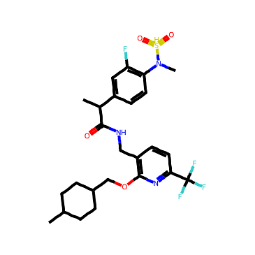 CC1CCC(COc2nc(C(F)(F)F)ccc2CNC(=O)C(C)c2ccc(N(C)[SH](=O)=O)c(F)c2)CC1